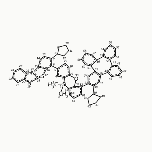 C[Si]1(C)c2cc(-c3c(C4CCCC4)ccc4c3sc3nc5ccccc5n34)ccc2Oc2c(-c3cc4c(cc3C3CCCC3)-c3ccccc3-c3ccccc3-c3ccccc3-4)cccc21